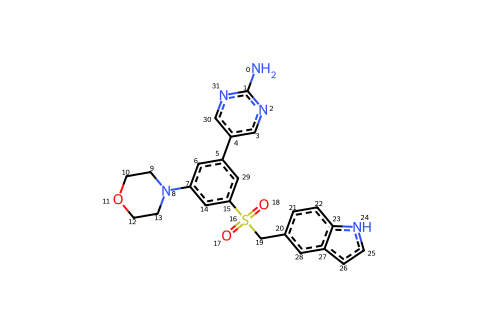 Nc1ncc(-c2cc(N3CCOCC3)cc(S(=O)(=O)Cc3ccc4[nH]ccc4c3)c2)cn1